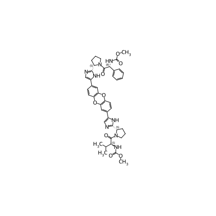 COC(=O)N[C@H](C(=O)N1CCC[C@H]1c1ncc(-c2ccc3c(c2)Oc2ccc(-c4cnc([C@@H]5CCCN5C(=O)[C@H](NC(=O)OC)c5ccccc5)[nH]4)cc2O3)[nH]1)C(C)C